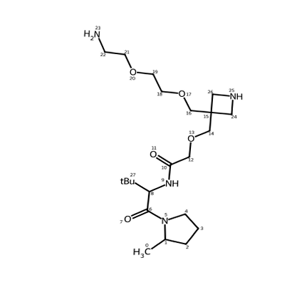 CC1CCCN1C(=O)C(NC(=O)COCC1(COCCOCCN)CNC1)C(C)(C)C